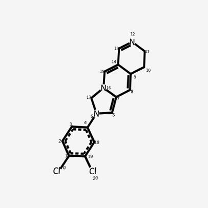 Clc1ccc(N2C=C3C=C4CCN=CC4=CN3C2)cc1Cl